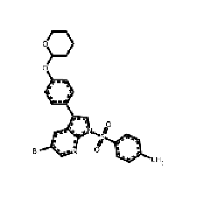 Cc1ccc(S(=O)(=O)n2cc(-c3ccc(OC4CCCCO4)cc3)c3cc(Br)cnc32)cc1